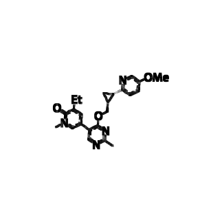 CCc1cc(-c2cnc(C)nc2OC[C@H]2C[C@@H]2c2ccc(OC)cn2)cn(C)c1=O